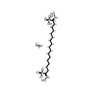 O=P([O-])([O-])C(CCCCCCCCCCCCCCCC(=NO)P(=O)(O)O)=NO.[Na+].[Na+]